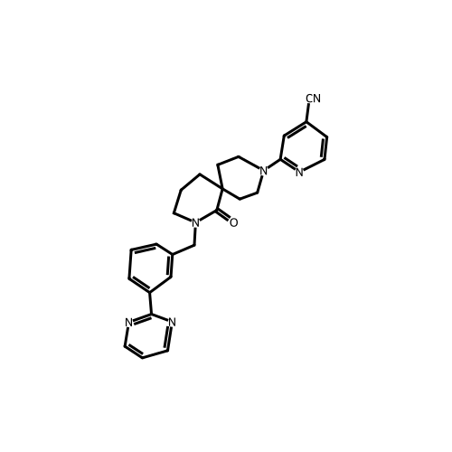 N#Cc1ccnc(N2CCC3(CCCN(Cc4cccc(-c5ncccn5)c4)C3=O)CC2)c1